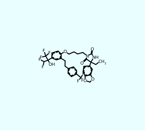 CCC1(c2ccc3c(c2)OCO3)NC(=O)N(CCCCOc2ccc(C(O)(C(F)F)C(F)(F)F)cc2CCc2ccc(C(F)(F)F)cc2)C1=O